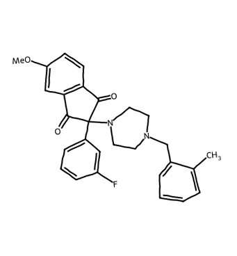 COc1ccc2c(c1)C(=O)C(c1cccc(F)c1)(N1CCN(Cc3ccccc3C)CC1)C2=O